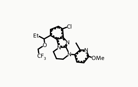 CCC(OCC(F)(F)F)c1ccc(Cl)c2nc3n(c12)CCCN3c1ccc(OC)nc1C